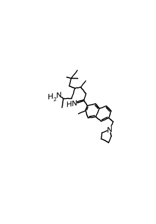 Cc1cc2cc(CN3CCCC3)ccc2cc1C(=N)CC(C)C(CC(C)N)CC(C)(C)C